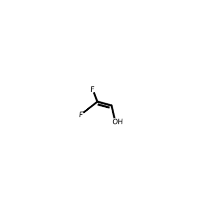 OC=C(F)F